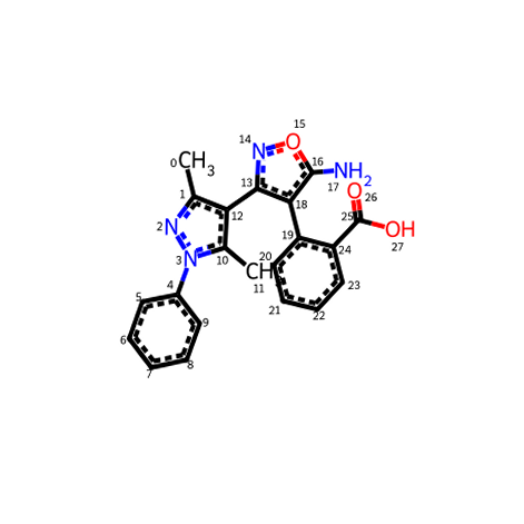 Cc1nn(-c2ccccc2)c(C)c1-c1noc(N)c1-c1ccccc1C(=O)O